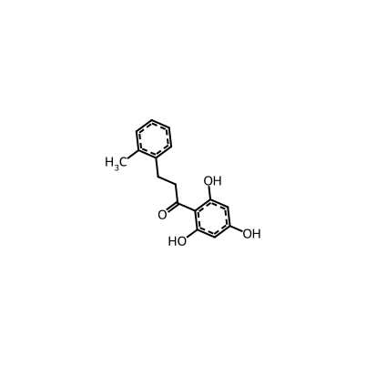 Cc1ccccc1CCC(=O)c1c(O)cc(O)cc1O